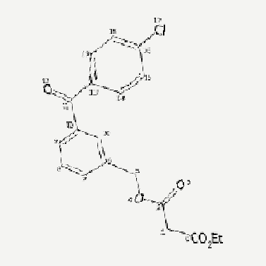 CCOC(=O)CC(=O)OCc1cccc(C(=O)c2ccc(Cl)cc2)c1